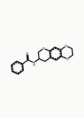 O=C(NC1COc2cc3c(cc2C1)OCCO3)c1ccccc1